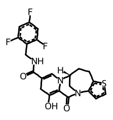 O=C(NCc1c(F)cc(F)cc1F)C1=CN2C(=C(O)C1)C(=O)N1C[C@H]2CCc2sccc21